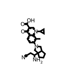 Cc1c(N2CC3CCCC3(C(N)CC#N)C2)ccc2c(=O)c(C(=O)O)cn(C3CC3)c12